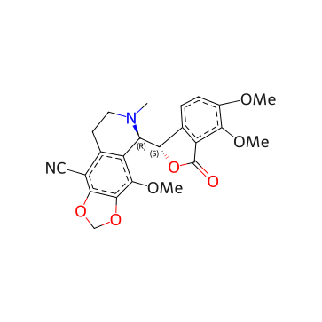 COc1ccc2c(c1OC)C(=O)O[C@@H]2[C@H]1c2c(c(C#N)c3c(c2OC)OCO3)CCN1C